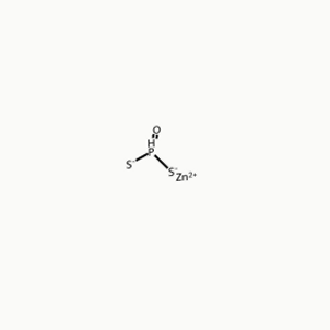 O=[PH]([S-])[S-].[Zn+2]